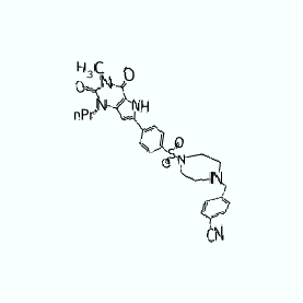 CCCn1c(=O)n(C)c(=O)c2[nH]c(-c3ccc(S(=O)(=O)N4CCN(Cc5ccc(C#N)cc5)CC4)cc3)cc21